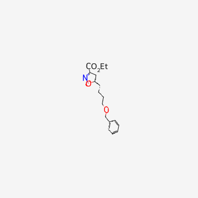 CCOC(=O)C1=NOC(CCCCOCc2ccccc2)C1